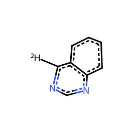 [2H]c1ncnc2ccccc12